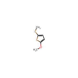 COc1ccc(SC)s1